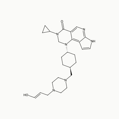 O=C1c2cnc3[nH]ccc3c2N([C@H]2CC[C@H](CN3CCN(CC=CO)CC3)CC2)CN1C1CC1